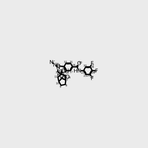 [N-]=[N+]=NC[C@]1(O)CC2CCC(C1)[C@H]2S(=O)(=O)c1cc(C(=O)Nc2cc(F)c(F)c(F)c2)ccc1Cl